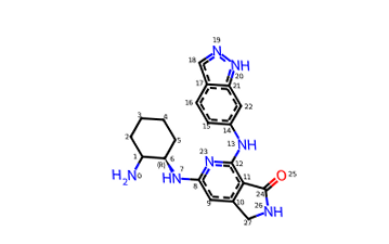 NC1CCCC[C@H]1Nc1cc2c(c(Nc3ccc4cn[nH]c4c3)n1)C(=O)NC2